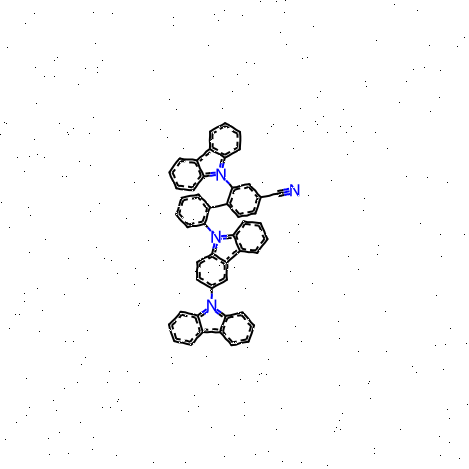 N#Cc1ccc(-c2ccccc2-n2c3ccccc3c3cc(-n4c5ccccc5c5ccccc54)ccc32)c(-n2c3ccccc3c3ccccc32)c1